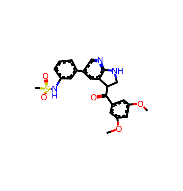 COc1cc(OC)cc(C(=O)C2CNc3ncc(-c4cccc(NS(C)(=O)=O)c4)cc32)c1